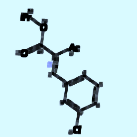 CC(=O)/C(=C\c1cccc(Cl)c1)C(=O)OC(C)C